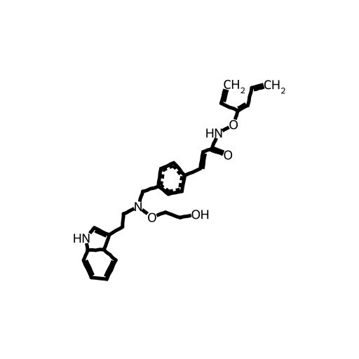 C=C/C=C(\C=C)ONC(=O)/C=C/c1ccc(CN(CCC2=CNC3C=CC=CC23)OCCO)cc1